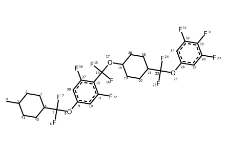 CC1CCC(C(F)(F)Oc2cc(F)c(C(F)(F)OC3CCC(C(F)(F)Oc4cc(F)c(F)c(F)c4)CC3)c(F)c2)CC1